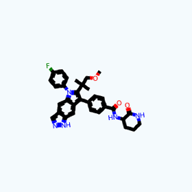 COCC(C)(C)c1c(-c2ccc(C(=O)NC3CCCNC3=O)cc2)c2cc3[nH]ncc3cc2n1-c1ccc(F)cc1